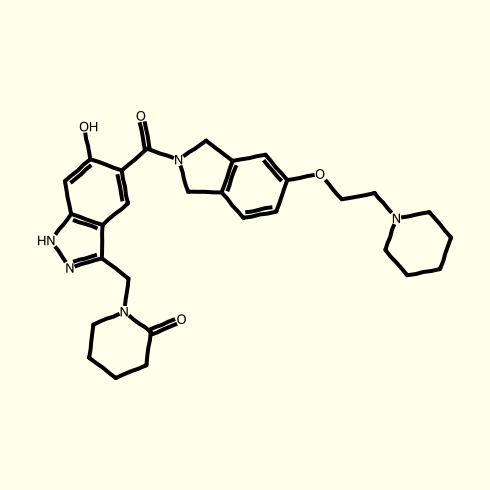 O=C1CCCCN1Cc1n[nH]c2cc(O)c(C(=O)N3Cc4ccc(OCCN5CCCCC5)cc4C3)cc12